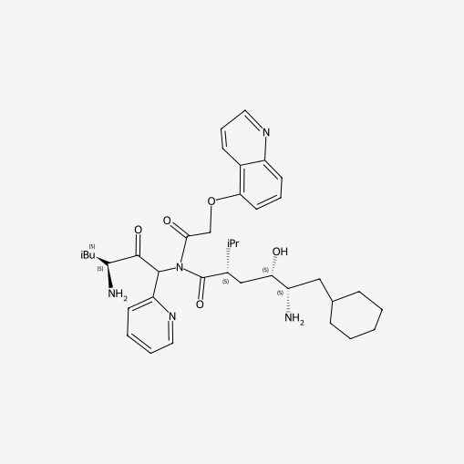 CC[C@H](C)[C@H](N)C(=O)C(c1ccccn1)N(C(=O)COc1cccc2ncccc12)C(=O)[C@@H](C[C@H](O)[C@@H](N)CC1CCCCC1)C(C)C